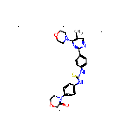 Cc1cnc(-c2ccc(NC(=S)Nc3ccc(N4CCOCC4=O)cc3)cc2)nc1N1CCOCC1